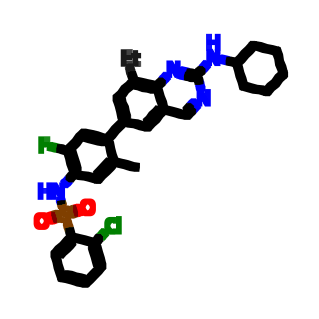 CCc1cc(-c2cc(F)c(NS(=O)(=O)c3ccccc3Cl)cc2C)cc2cnc(NC3CCCCC3)nc12